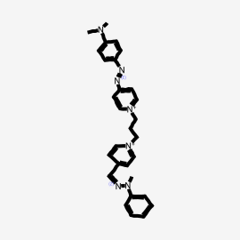 CN(C)c1ccc(/N=N/c2cc[n+](CCC[n+]3ccc(/C=N\N(C)c4ccccc4)cc3)cc2)cc1